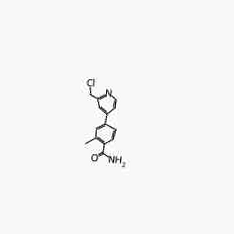 Cc1cc(-c2ccnc(CCl)c2)ccc1C(N)=O